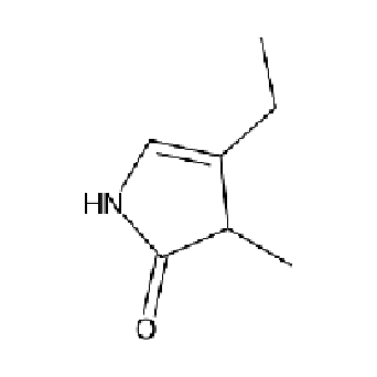 CCC1=CNC(=O)C1C